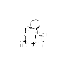 O=P1(O)OCN[C@@H]2CCCCC=C2N[PH](O)(O)OP(=O)(O)O1